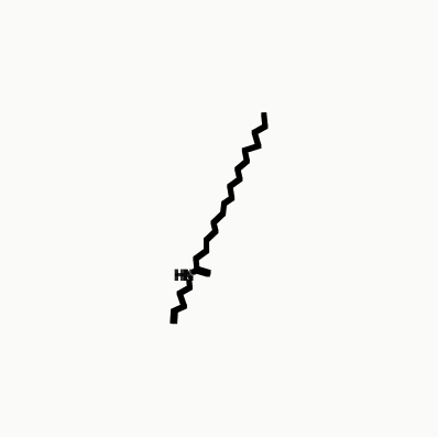 C=CCCCNC(=C)CCCCCCCCCCCCCCCCC